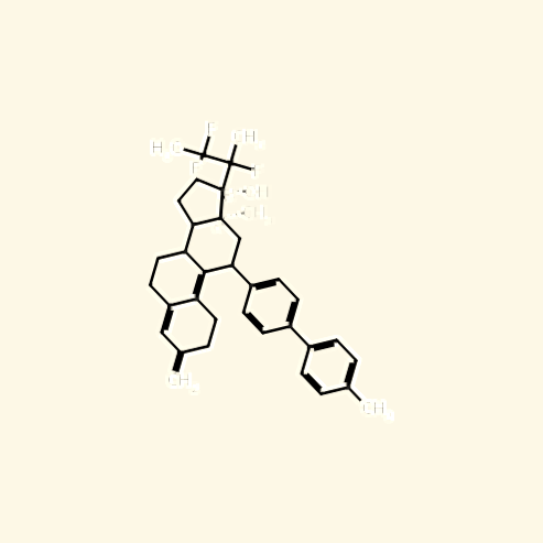 C=C1C=C2CCC3C(=C2CC1)C(c1ccc(-c2ccc(C)cc2)cc1)C[C@@]1(C)C3CC[C@@]1(O)C(C)(F)C(C)(F)F